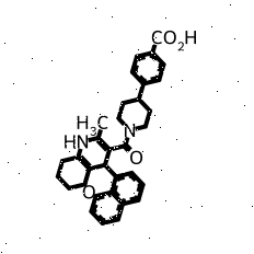 CC1=C(C(=O)N2CCC(c3ccc(C(=O)O)cc3)CC2)C(c2cccc3ccccc23)C2=C(CCCC2=O)N1